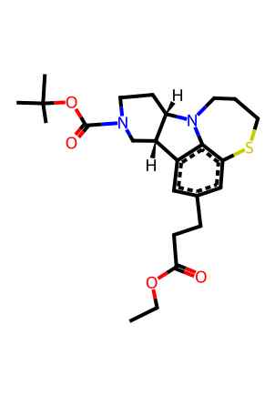 CCOC(=O)CCc1cc2c3c(c1)[C@@H]1CN(C(=O)OC(C)(C)C)CC[C@@H]1N3CCCS2